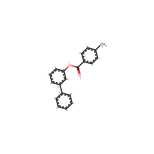 Cc1ccc(C(=O)Oc2cccc(-c3ccccc3)c2)cc1